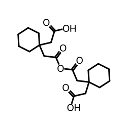 O=C(O)CC1(CC(=O)OC(=O)CC2(CC(=O)O)CCCCC2)CCCCC1